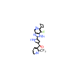 O=C(c1c[nH]c(-c2nc3cnc(C4CCC4)c(F)c3[nH]2)c1)c1cccnc1C(F)(F)F